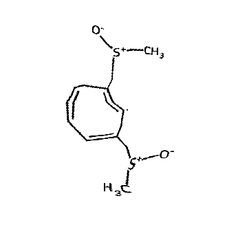 C[S+]([O-])c1[c]c([S+](C)[O-])ccc1